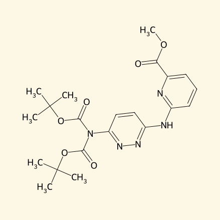 COC(=O)c1cccc(Nc2ccc(N(C(=O)OC(C)(C)C)C(=O)OC(C)(C)C)nn2)n1